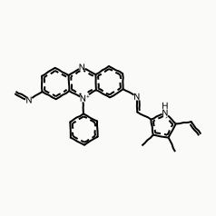 C=Cc1[nH]c(C=Nc2ccc3nc4ccc(N=C)cc4[n+](-c4ccccc4)c3c2)c(C)c1C